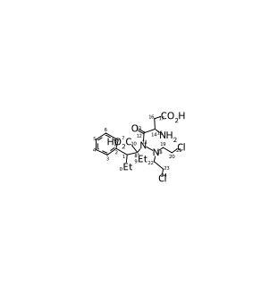 CCC(c1ccccc1)[C@@](CC)(C(=O)O)N(C(=O)C(N)CC(=O)O)N(CCCl)CCCl